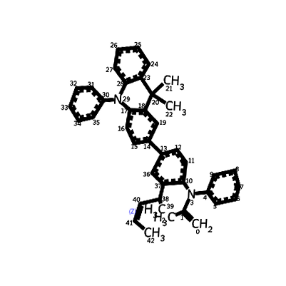 C=C(C)N(c1ccccc1)c1ccc(-c2ccc3c(c2)C(C)(C)c2ccccc2N3c2ccccc2)cc1C(C)/C=C\C